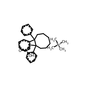 C[N+](C)(C)C.[O-]B(O)OC1(c2ccccc2)CCCCCCC1(c1ccccc1)c1ccccc1